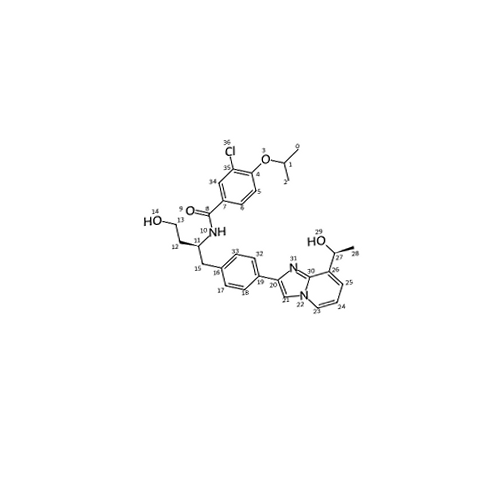 CC(C)Oc1ccc(C(=O)N[C@H](CCO)Cc2ccc(-c3cn4cccc([C@H](C)O)c4n3)cc2)cc1Cl